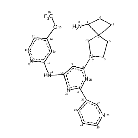 NC1CCC12CCN(c1cc(Nc3cc(OC(F)(F)F)ccn3)nc(-c3cccnc3)n1)C2